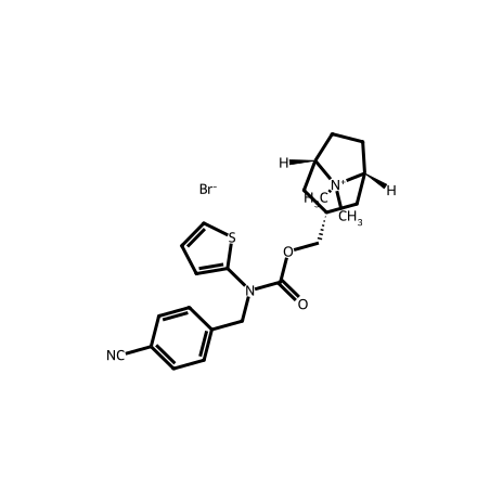 C[N+]1(C)[C@@H]2CC[C@H]1C[C@@H](COC(=O)N(Cc1ccc(C#N)cc1)c1cccs1)C2.[Br-]